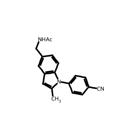 CC(=O)NCc1ccc2c(c1)cc(C)n2-c1ccc(C#N)cc1